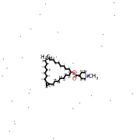 CCCCCCCCCC(CCCCCCCC1CC1CCCCCCCC)OC(=O)C1CCN(C)CC1